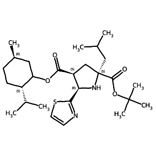 CC(C)C[C@@]1(C(=O)OC(C)(C)C)C[C@H](C(=O)OC2C[C@H](C)CC[C@H]2C(C)C)[C@H](c2nccs2)N1